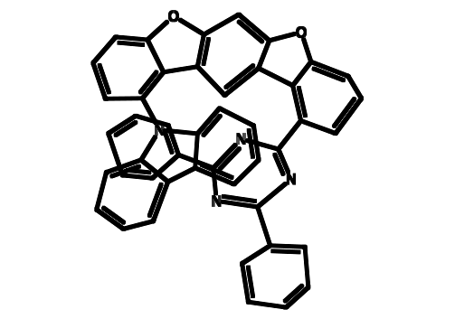 c1ccc(-c2nc(-c3ccccc3)nc(-c3cccc4oc5cc6oc7cccc(-n8c9ccccc9c9ccccc98)c7c6cc5c34)n2)cc1